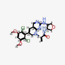 C=CC(=O)N[C@@H]1COC[C@@H]1Nc1ncc2c(n1)N(C)CC(c1c(Cl)c(OC)cc(OC)c1Cl)=C2